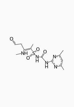 CNC(CC=O)=C(C)S(=O)(=O)NC(=O)Nc1nc(C)cc(C)n1